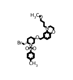 COCCCN1CCOc2ccc(CO[C@@H]3CC[C@@H](CBr)N(S(=O)(=O)c4ccc(C)cc4)C3)cc21